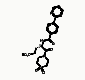 O=C(O)CC[C@H](NC(=O)c1ccc(-c2ncccn2)cc1)C(=O)N1CCS(=O)(=O)CC1